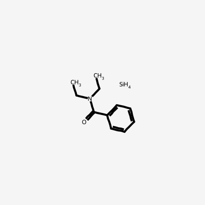 CCN(CC)C(=O)c1ccccc1.[SiH4]